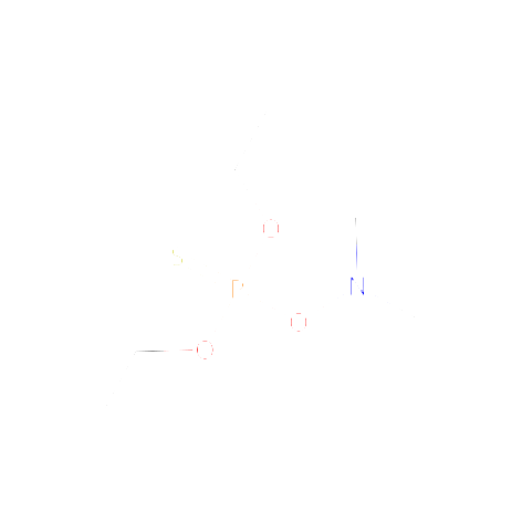 CCOP(=S)(OCC)ON(C)C